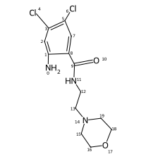 Nc1cc(Cl)c(Cl)cc1C(=O)NCCN1CCOCC1